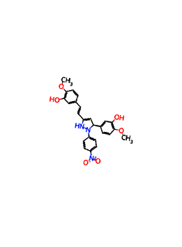 COc1ccc(C=CC2=CC(c3ccc(OC)c(O)c3)N(c3ccc([N+](=O)[O-])cc3)N2)cc1O